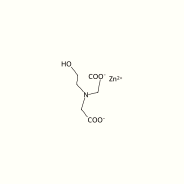 O=C([O-])CN(CCO)CC(=O)[O-].[Zn+2]